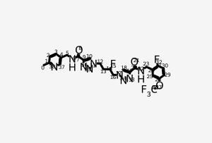 Cc1ccc(CNC(=O)c2cn(CCC(F)Cn3cc(C(=O)NCc4cc(OC(F)(F)F)ccc4F)nn3)nn2)cn1